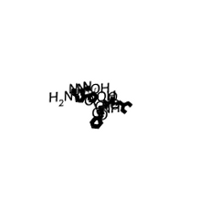 CCC(CC)COC(=O)C(C)N[P@](=O)(OC[C@H]1O[C@@](C#N)(c2ccc3c(N)ncnn23)[C@H](O)[C@@H]1O)Oc1ccccc1